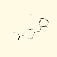 COc1ccc(F)c(CC2CCN(C(=O)N(C)C)CC2)c1